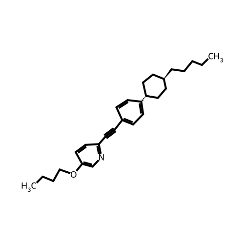 CCCCC[C@H]1CC[C@H](c2ccc(C#Cc3ccc(OCCCC)cn3)cc2)CC1